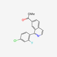 COC(=O)c1ccc2ccnc(-c3ccc(Cl)cc3F)c2c1